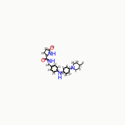 CC1CCN(c2ccc(Nc3ccc(CNC(=O)C4CCC(=O)N4)cc3)cc2)CC1